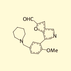 COc1ccc(CN2CCCCC2)cc1-c1cncc2cc(C=O)oc12